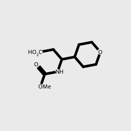 COC(=O)NC(CC(=O)O)C1CCOCC1